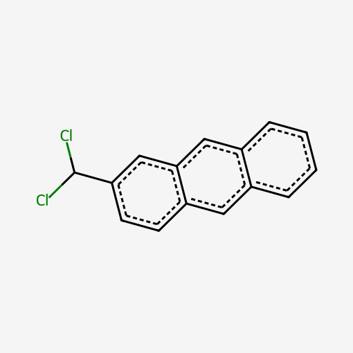 ClC(Cl)c1ccc2cc3ccccc3cc2c1